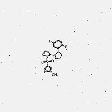 Cn1cc(S(=O)(=O)n2nccc2N2CCCC2c2cc(F)ccc2F)cn1